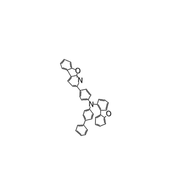 c1ccc(-c2ccc(N(c3ccc(-c4ccc5c(n4)oc4ccccc45)cc3)c3cccc4oc5ccccc5c34)cc2)cc1